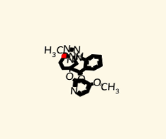 COc1ccnc(O[C@]2(C(=O)c3ccccc3-n3ncnn3)CC[C@@H](C)NC2)c1